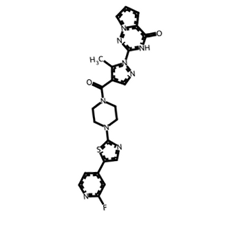 Cc1c(C(=O)N2CCN(c3ncc(-c4ccnc(F)c4)s3)CC2)cnn1-c1nn2cccc2c(=O)[nH]1